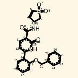 O=C(N[C@@H]1C=CS(=O)(=O)C1)c1ccc(-c2ccccc2OCc2ccccc2)[nH]c1=O